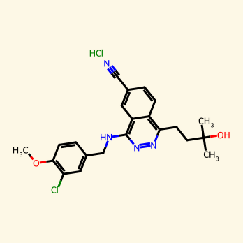 COc1ccc(CNc2nnc(CCC(C)(C)O)c3ccc(C#N)cc23)cc1Cl.Cl